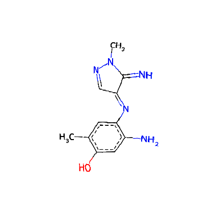 Cc1cc(N=C2C=NN(C)C2=N)c(N)cc1O